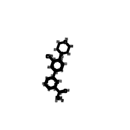 NC(=O)c1cncc(-c2ccc(N3CCOCC3)c(Cl)c2)n1